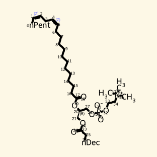 CCCCC/C=C\C/C=C\CCCCCCCCCCCC(=O)O[C@H](COC(=O)CCCCCCCCCCC)COP(=O)([O-])OCC[N+](C)(C)C